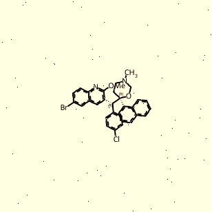 COc1nc2ccc(Br)cc2cc1[C@@H](c1ccc(Cl)cc1)[C@@]1(c2cccc3ccccc23)CCN(C)CO1